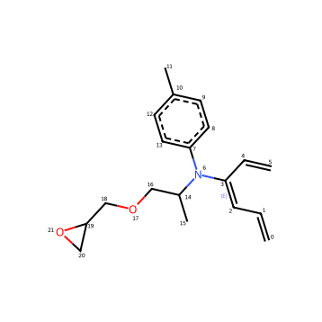 C=C/C=C(\C=C)N(c1ccc(C)cc1)C(C)COCC1CO1